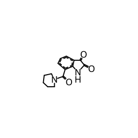 O=C1Nc2c(cccc2C(=O)N2CCCCC2)C1=O